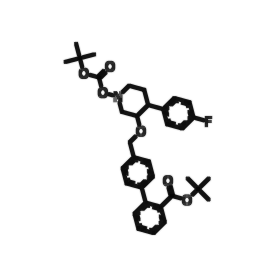 CC(C)(C)OC(=O)ON1CCC(c2ccc(F)cc2)C(OCc2ccc(-c3ccccc3C(=O)OC(C)(C)C)cc2)C1